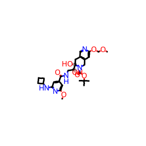 COCOc1cc2c(cn1)C[C@](O)([C@H](O)CNC(=O)c1cc(NC3CCC3)nc(OC)c1)N(C(=O)OC(C)(C)C)C2